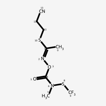 C/C(=N\OC(=O)N(C)SC(F)(F)F)SCCC#N